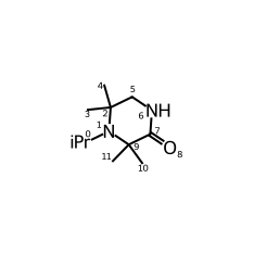 CC(C)N1C(C)(C)CNC(=O)C1(C)C